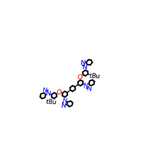 CC(C)(C)c1cc(Oc2cc(-c3ccc(-c4cc(Oc5cc(-n6cnc7ccccc76)cc(C(C)(C)C)c5)cc(-n5cnc6ccccc65)c4)cc3)cc(-n3cnc4ccccc43)c2)cc(-n2cnc3ccccc32)c1